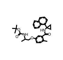 Cc1ccc(OCC(C)NC(=O)OC(C)(C)C)cc1C(=O)NC1(c2cccc3ccccc23)CC1